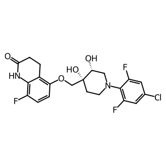 O=C1CCc2c(OC[C@]3(O)CCN(c4c(F)cc(Cl)cc4F)C[C@H]3O)ccc(F)c2N1